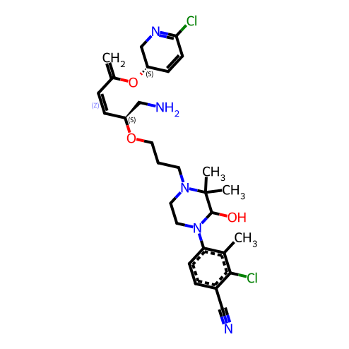 C=C(/C=C\[C@@H](CN)OCCCN1CCN(c2ccc(C#N)c(Cl)c2C)C(O)C1(C)C)O[C@H]1C=CC(Cl)=NC1